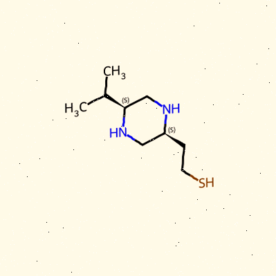 CC(C)[C@H]1CN[C@@H](CCS)CN1